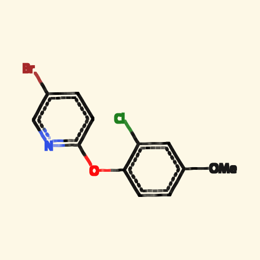 COc1ccc(Oc2ccc(Br)cn2)c(Cl)c1